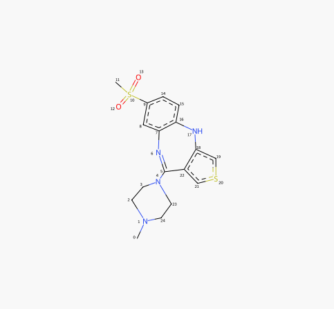 CN1CCN(C2=Nc3cc(S(C)(=O)=O)ccc3Nc3cscc32)CC1